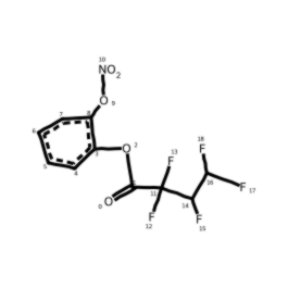 O=C(Oc1ccccc1O[N+](=O)[O-])C(F)(F)C(F)C(F)F